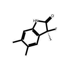 Cc1cc2c(cc1C)[C@](C)(F)C(=O)N2